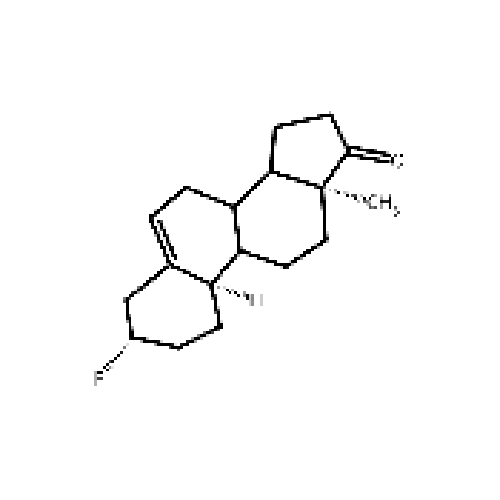 C[C@]12CCC3C(CC=C4C[C@@H](F)CC[C@@H]43)C1CCC2=O